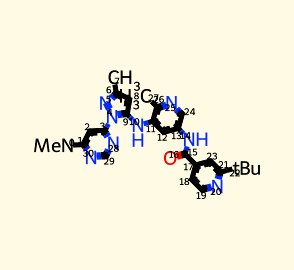 CNc1cc(-n2nc(C)cc2Nc2cc(NC(=O)c3ccnc(C(C)(C)C)c3)cnc2C)ncn1